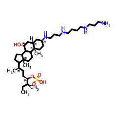 CCC(C)[C@@H](CC[C@@H](C)C1CCC2C3C(CC[C@@]21C)[C@@]1(C)CC[C@H](NCCCNCCCCNCCCN)C[C@@H]1C[C@H]3O)OS(=O)(=O)O